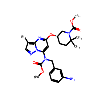 CC(C)c1cnn2c(N(Cc3cccc(N)c3)C(=O)OC(C)(C)C)cc(O[C@@H]3CCC(C)(C)N(C(=O)OC(C)(C)C)C3)nc12